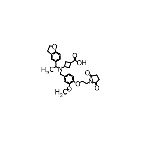 COc1cc(CN(C2CC(C(=O)O)C2)C(C)c2ccc3c(c2)CCO3)ccc1OCCN1C(=O)CCC1=O